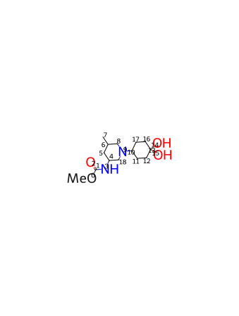 COC(=O)NC1CC(C)CN(C2CCC(O)(O)CC2)C1